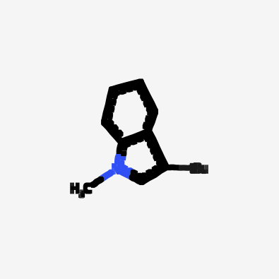 Cn1cc(C(C)(C)C)c2ccccc21